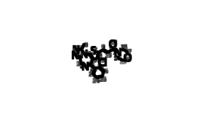 Cc1nnc2n1-c1sc(C=CC(=O)N3CCOCC3)cc1C(c1ccccc1Cl)=NC2